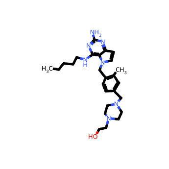 CCCCCNc1nc(N)nc2ccn(Cc3ccc(CN4CCN(CCO)CC4)cc3C)c12